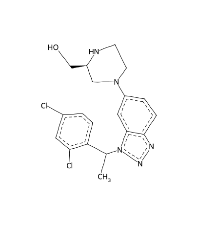 CC(c1ccc(Cl)cc1Cl)n1nnc2ccc(N3CCN[C@H](CO)C3)cc21